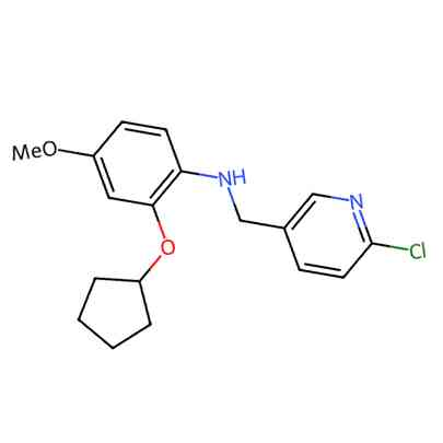 COc1ccc(NCc2ccc(Cl)nc2)c(OC2CCCC2)c1